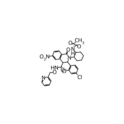 CS(=O)(=O)NC1CCCCC1N1C(=O)c2ccc([N+](=O)[O-])cc2C(C(=O)NOCc2ccccn2)C1c1ccc(Cl)cc1Cl